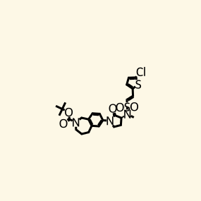 CN([C@H]1CCN(c2ccc3c(c2)CCCN(C(=O)OC(C)(C)C)C3)C1=O)S(=O)(=O)C=Cc1ccc(Cl)s1